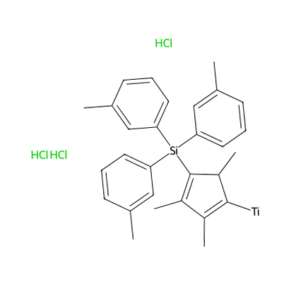 CC1=[C]([Ti])C(C)C([Si](c2cccc(C)c2)(c2cccc(C)c2)c2cccc(C)c2)=C1C.Cl.Cl.Cl